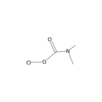 CN(C)C(=O)OCl